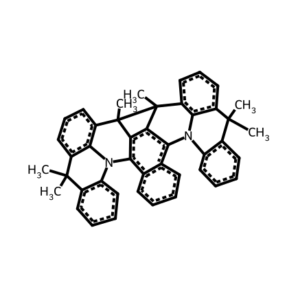 CC1(C)c2ccccc2N2c3c1cccc3C1(C)c3c4c(c5ccccc5c32)N2c3ccccc3C(C)(C)c3cccc(c32)C41C